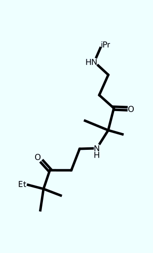 CCC(C)(C)C(=O)CCNC(C)(C)C(=O)CCNC(C)C